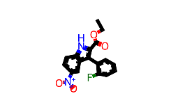 CCOC(=O)c1[nH]c2ccc([N+](=O)[O-])cc2c1-c1ccccc1F